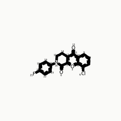 O=C1c2oc3c(Cl)cccc3c(=O)c2CCN1c1ccc(F)cc1